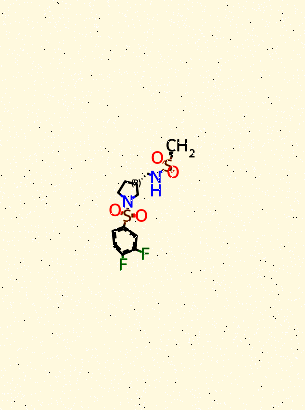 C=CS(=O)(=O)NC[C@H]1CCN(S(=O)(=O)c2ccc(F)c(F)c2)C1